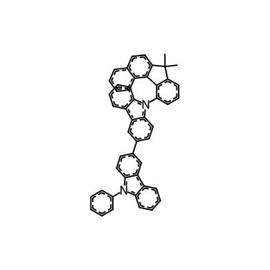 CC1(C)c2cccc(-n3c4ccccc4c4cc(-c5ccc6c(c5)c5ccccc5n6-c5ccccc5)ccc43)c2-c2c1ccc1ccccc21